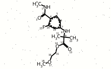 CNC(=O)c1ccc(NC(C)(C)C(=O)OCCOC)cc1F